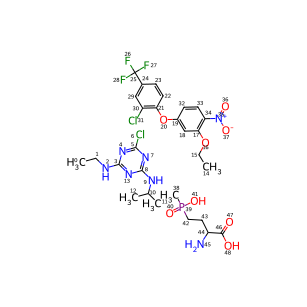 CCNc1nc(Cl)nc(NC(C)C)n1.CCOc1cc(Oc2ccc(C(F)(F)F)cc2Cl)ccc1[N+](=O)[O-].CP(=O)(O)CCC(N)C(=O)O